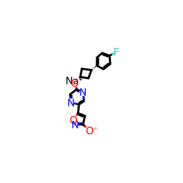 [Na+].[O-]c1cc(-c2cnc(O[C@H]3C[C@@H](c4ccc(F)cc4)C3)cn2)on1